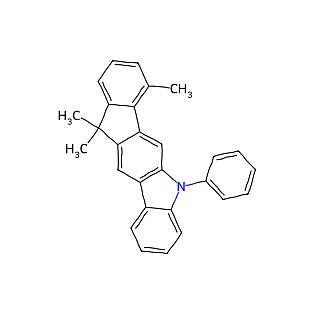 Cc1cccc2c1-c1cc3c(cc1C2(C)C)c1ccccc1n3-c1ccccc1